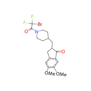 COc1cc2c(cc1OC)C(=O)C(CC1CCN(C(=O)C(F)(F)Br)CC1)C2